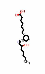 CCCCCC(O)/C=C\[C@H]1CCC[C@@H]1CCCCCCC(=O)O